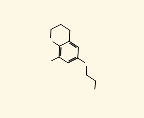 OCCOc1cc(O)c2c(c1)CCCO2